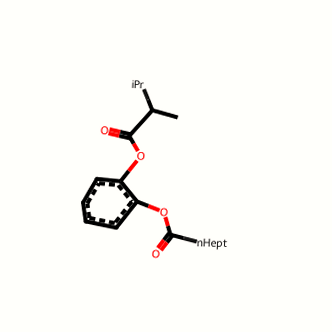 CCCCCCCC(=O)Oc1ccccc1OC(=O)C(C)C(C)C